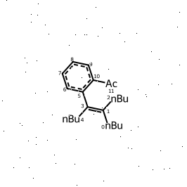 CCCCC(CCCC)=C(CCCC)c1ccccc1C(C)=O